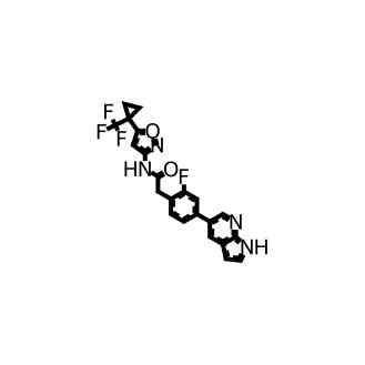 O=C(Cc1ccc(-c2cnc3[nH]ccc3c2)cc1F)Nc1cc(C2(C(F)(F)F)CC2)on1